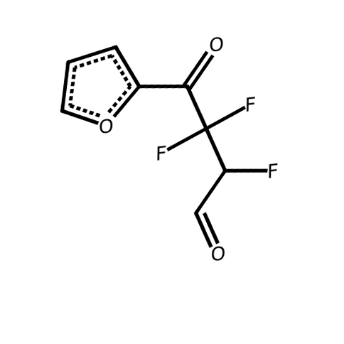 O=CC(F)C(F)(F)C(=O)c1ccco1